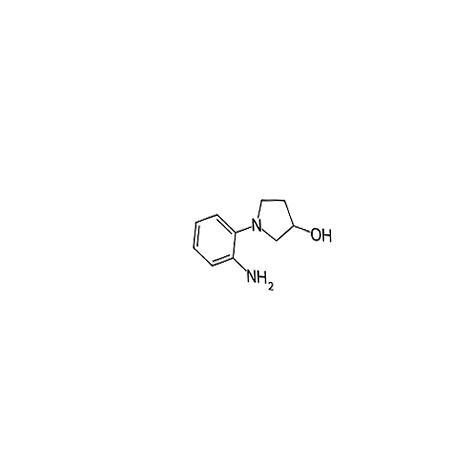 Nc1ccccc1N1CCC(O)C1